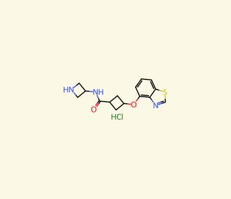 Cl.O=C(NC1CNC1)C1CC(Oc2cccc3scnc23)C1